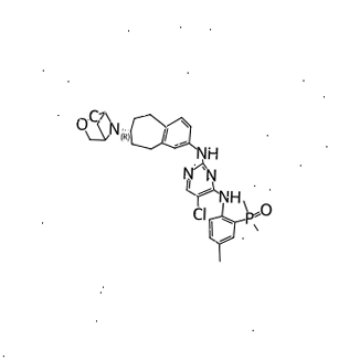 Cc1ccc(Nc2nc(Nc3ccc4c(c3)CC[C@H](N3C5COCC3C5)CC4)ncc2Cl)c(P(C)(C)=O)c1